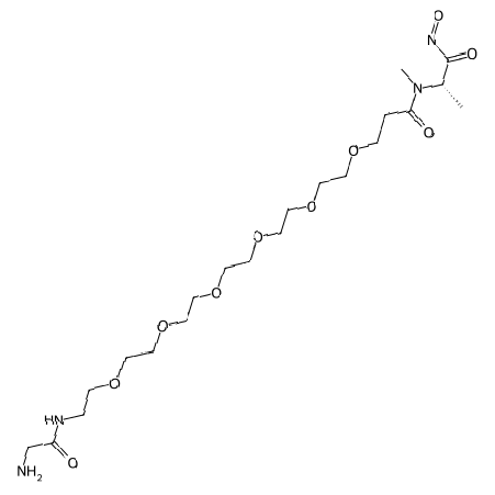 C[C@@H](C(=O)N=O)N(C)C(=O)CCOCCOCCOCCOCCOCCOCCNC(=O)CN